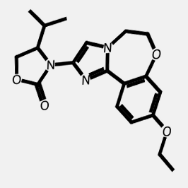 CCOc1ccc2c(c1)OCCn1cc(N3C(=O)OCC3C(C)C)nc1-2